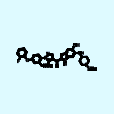 CNc1c(C(=O)c2cc3cc(O)c(NC4CCN(SC)CC4)cc3[nH]2)cnn1-c1ccc(Oc2ccccc2F)cc1C